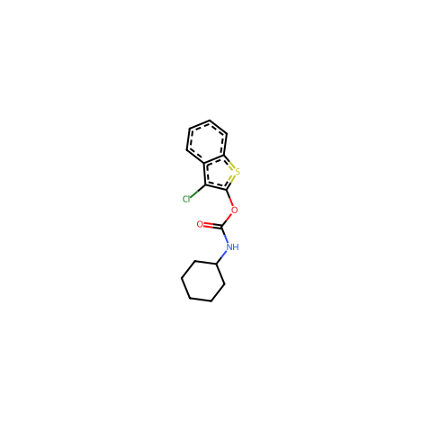 O=C(NC1CCCCC1)Oc1sc2ccccc2c1Cl